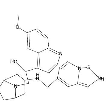 COc1ccc2nccc(C(O)CN3C4CCC3CC(NCC3=CC5=CNSN5C=C3)C4)c2c1